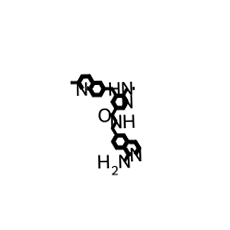 CNc1ncc(C(=O)NCc2ccc3c(N)nccc3c2)cc1Cc1ccc2nc(C)ccc2c1